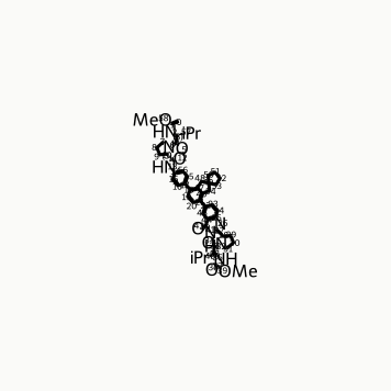 C=C(N[C@H](C(=O)N1CCC[C@H]1C(=O)Nc1ccc(-c2ccc(-c3ccc4nc(C5CCCN5C(=O)[C@@H](NC(=O)OC)C(C)C)[nH]c(=O)c4c3)c3c2CC2(CCCC2)C3)cc1)C(C)C)OC